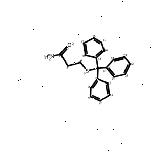 NC(=O)CCSC(c1ccccc1)(c1ccccc1)c1ccccc1